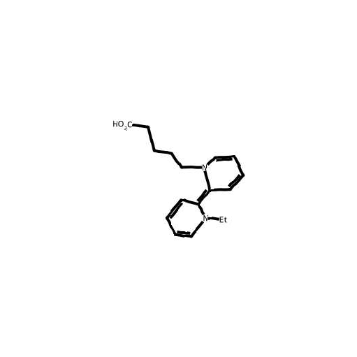 CCN1C=CC=CC1=C1C=CC=CN1CCCCC(=O)O